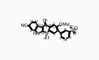 CCn1c2cc(-c3cncc(S(=O)(=O)F)c3)c(OC)cc2c(=O)c2c3ccc(C#N)cc3[nH]c21